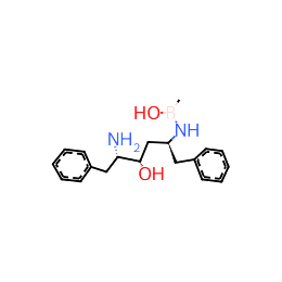 CB(O)N[C@@H](Cc1ccccc1)C[C@H](O)[C@@H](N)Cc1ccccc1